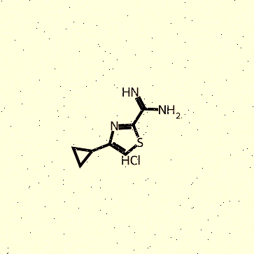 Cl.N=C(N)c1nc(C2CC2)cs1